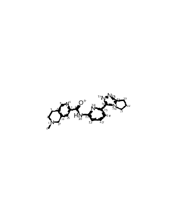 CN1CCc2cnc(C(=O)Nc3cccc(-c4nnc5n4CCC5)n3)cc2C1